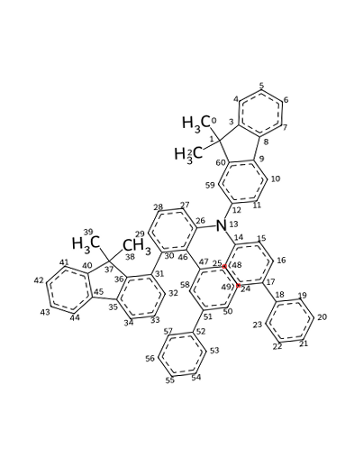 CC1(C)c2ccccc2-c2ccc(N(c3ccc(-c4ccccc4)cc3)c3cccc(-c4cccc5c4C(C)(C)c4ccccc4-5)c3-c3cccc(-c4ccccc4)c3)cc21